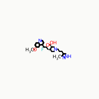 COc1ccc2nccc([C@@H](F)CC[C@@H]3CCN(CCCc4c[nH]nc4C)C[C@@H]3C(=O)O)c2c1